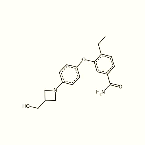 CCc1ccc(C(N)=O)cc1Oc1ccc(N2CC(CO)C2)cc1